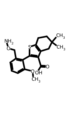 COc1cccc(CON)c1-c1sc2c(c1C(=O)O)CC(C)(C)CC2